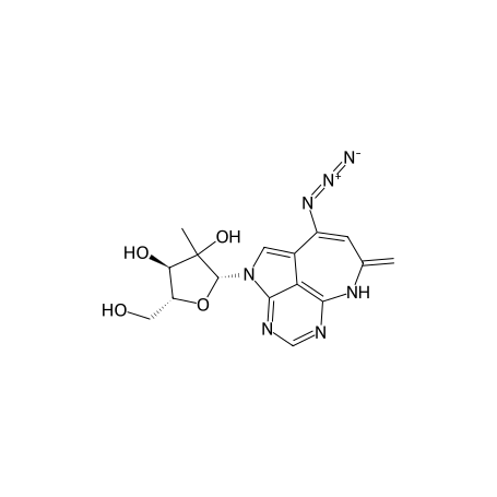 C=c1cc(N=[N+]=[N-])c2cn([C@@H]3O[C@H](CO)[C@@H](O)C3(C)O)c3ncnc([nH]1)c23